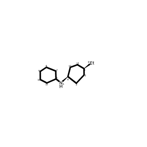 CC[C@H]1CC[C@@H](NC2CCCCC2)CC1